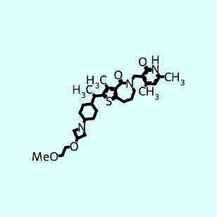 COCCOC1CN(C2CCC(C(C)c3sc4c(c3C)C(=O)N(Cc3c(C)cc(C)[nH]c3=O)CCC4)CC2)C1